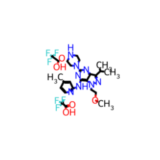 COCCn1nc(C(C)C)c2nc(N3CCNCC3)nc(Nc3cc(C)ccn3)c21.O=C(O)C(F)(F)F.O=C(O)C(F)(F)F